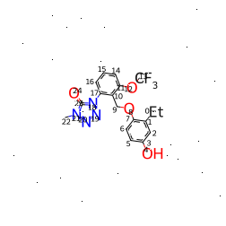 CCc1cc(O)ccc1OCc1c(OC(F)(F)F)cccc1-n1nnn(C)c1=O